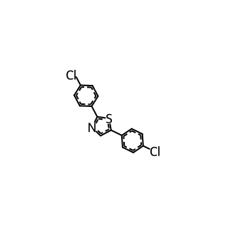 Clc1ccc(-c2cnc(-c3ccc(Cl)cc3)s2)cc1